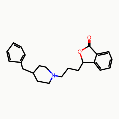 O=C1OC(CCCN2CCC(Cc3ccccc3)CC2)c2ccccc21